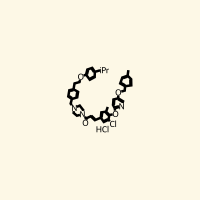 Cc1ccc(COc2ccc(Oc3c(C)cc(C=CC(=O)N4CCN(Cc5ccc(CCOc6ccc(C(C)C)cc6)cc5)CC4)cc3Cl)nc2)cc1.Cl